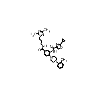 Cc1nc(C)n(CCCNC(=O)c2ccc(N3CCN(c4ccccc4C)CC3)c(NC(=O)c3coc(C4CC4)n3)c2)n1